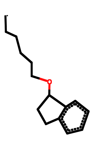 [CH2]CCCCCOC1CCc2ccccc21